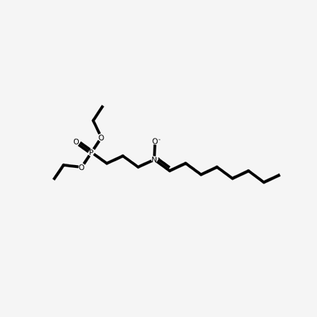 CCCCCCCC=[N+]([O-])CCCP(=O)(OCC)OCC